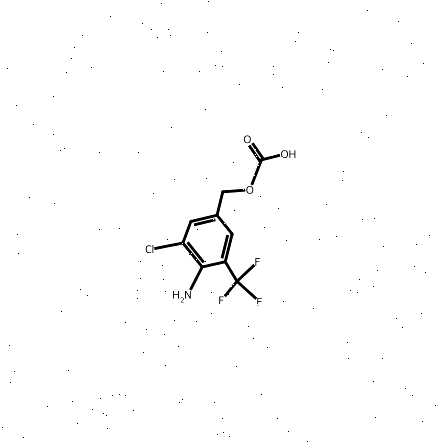 Nc1c(Cl)cc(COC(=O)O)cc1C(F)(F)F